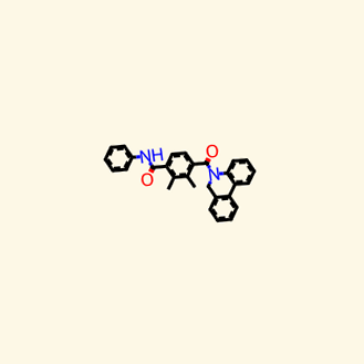 Cc1c(C(=O)Nc2ccccc2)ccc(C(=O)N2Cc3ccccc3-c3ccccc32)c1C